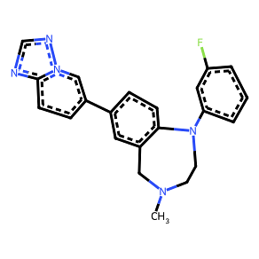 CN1CCN(c2cccc(F)c2)c2ccc(-c3ccc4ncnn4c3)cc2C1